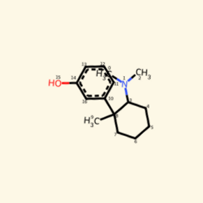 CN(C)C1CCCCC1(C)c1cccc(O)c1